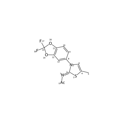 CC(=O)N=c1sc(C)cn1-c1ccc2c(c1)OC(F)(F)O2